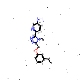 CCc1cccc(OCc2nnc(-c3ccc(N)cn3)n2C)c1